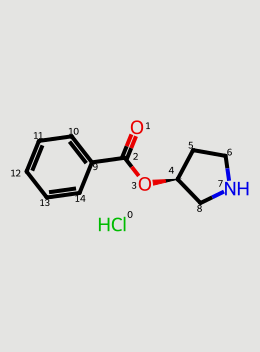 Cl.O=C(O[C@H]1CCNC1)c1ccccc1